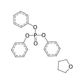 C1CCOC1.O=P(Oc1ccccc1)(Oc1ccccc1)Oc1ccccc1